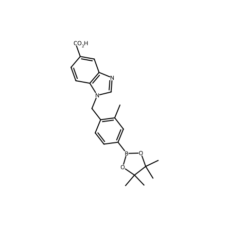 Cc1cc(B2OC(C)(C)C(C)(C)O2)ccc1Cn1cnc2cc(C(=O)O)ccc21